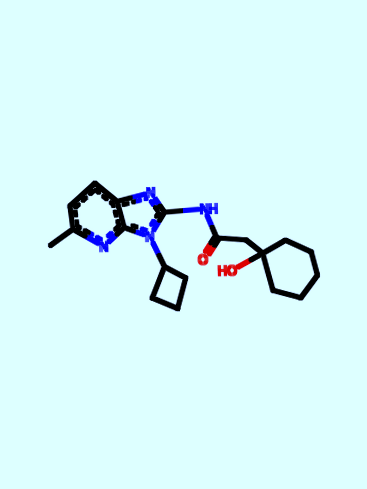 Cc1ccc2nc(NC(=O)CC3(O)CCCCC3)n(C3CCC3)c2n1